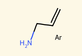 C=CCN.[Ar]